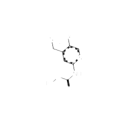 CC(C)(C)OC(=O)Nc1cc(CN)c(Br)cn1